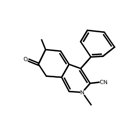 CC1C=C2C(=CN(C)C(C#N)=C2c2ccccc2)CC1=O